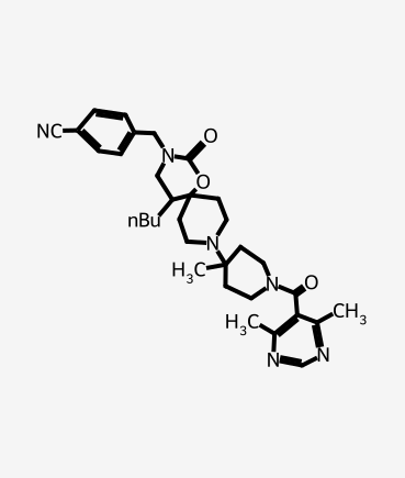 CCCCC1CN(Cc2ccc(C#N)cc2)C(=O)OC12CCN(C1(C)CCN(C(=O)c3c(C)ncnc3C)CC1)CC2